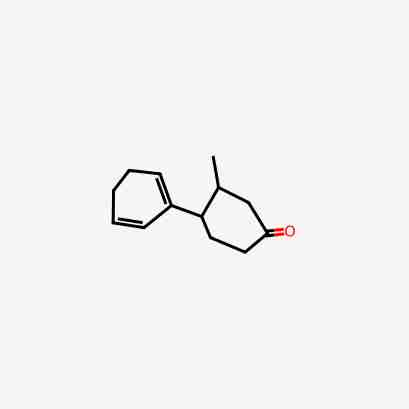 CC1CC(=O)CCC1C1=CCCC=C1